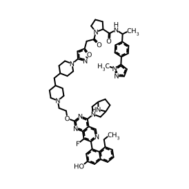 CCc1cccc2cc(O)cc(-c3ncc4c(N5CC6CCC(C5)N6)nc(OCCN5CCC(CC6CCN(c7cc(CC(=O)N8CCCC8C(=O)NC(C)c8ccc(-c9ccnn9C)cc8)on7)CC6)CC5)nc4c3F)c12